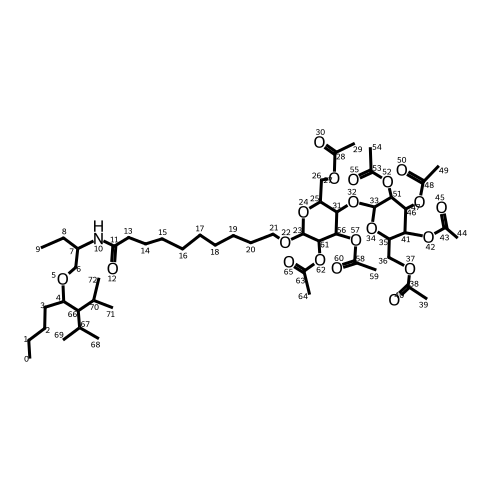 CCCCC(OCC(CC)NC(=O)CCCCCCCCCOC1OC(COC(C)=O)C(OC2OC(COC(C)=O)C(OC(C)=O)C(OC(C)=O)C2OC(C)=O)C(OC(C)=O)C1OC(C)=O)C(C(C)C)C(C)C